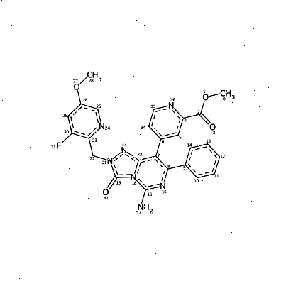 COC(=O)c1cc(-c2c(-c3ccccc3)nc(N)n3c(=O)n(Cc4ncc(OC)cc4F)nc23)ccn1